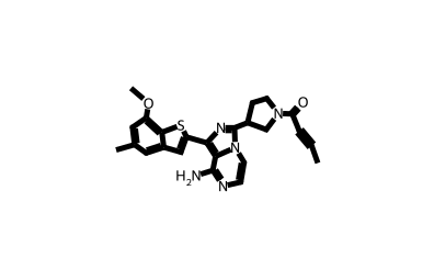 CC#CC(=O)N1CCC(c2nc(-c3cc4cc(C)cc(OC)c4s3)c3c(N)nccn23)C1